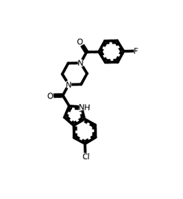 O=C(c1ccc(F)cc1)N1CCN(C(=O)c2cc3cc(Cl)ccc3[nH]2)CC1